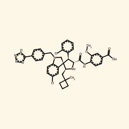 COc1cc(C(=O)O)ccc1NC(=O)[C@@H]1N[C@@H](CC2(C)CCC2)[C@@]2(CN(Cc3ccc(-c4nnn[nH]4)cc3)c3ccc(Cl)cc32)[C@H]1c1ccccc1Cl